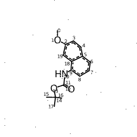 COc1ccc2cccc(NC(=O)OC(C)(C)C)c2c1